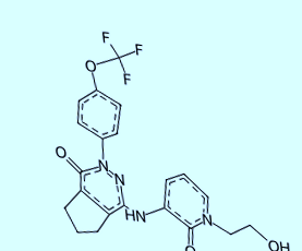 O=c1c(Nc2nn(-c3ccc(OC(F)(F)F)cc3)c(=O)c3c2CCC3)cccn1CCO